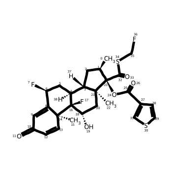 C[C@@H]1C[C@H]2[C@@H]3C[C@H](F)C4=CC(=O)C=C[C@]4(C)[C@@]3(F)[C@@H](O)C[C@]2(C)[C@@]1(OC(=O)c1ccsc1)C(=O)SCF